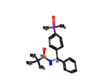 CC(C)(C)[S@@+]([O-])N[C@@H](c1ccccc1)c1ccc(P(C)(C)=O)cc1